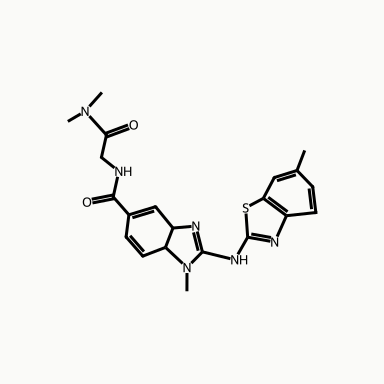 Cc1ccc2nc(NC3=NC4C=C(C(=O)NCC(=O)N(C)C)C=CC4N3C)sc2c1